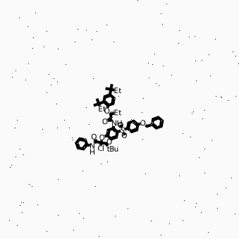 CCC(Oc1ccc(C(C)(C)CC)cc1C(C)(C)CC)C(=O)Nc1cc(OC(Cl)(C(=O)Nc2ccccc2)C(=O)C(C)(C)C)ccc1S(=O)(=O)c1ccc(OCc2ccccc2)cc1